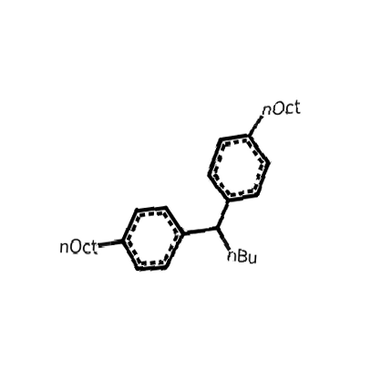 CCCCCCCCc1ccc(C(CCCC)c2ccc(CCCCCCCC)cc2)cc1